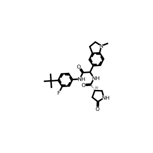 CN1CCc2cc(C(NC(=O)[C@@H]3CNC(=O)C3)C(=O)Nc3ccc(C(C)(C)C)c(F)c3)ccc21